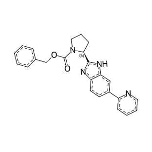 O=C(OCc1ccccc1)N1CCC[C@H]1c1nc2ccc(-c3ccccn3)cc2[nH]1